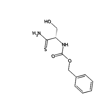 NC(=S)[C@H](CO)NC(=O)OCc1ccccc1